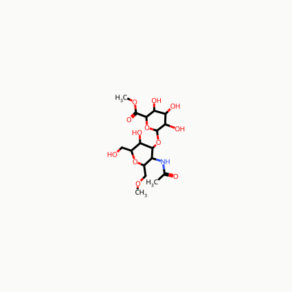 COCC1OC(CO)C(O)C(OC2OC(C(=O)OC)C(O)C(O)C2O)C1NC(C)=O